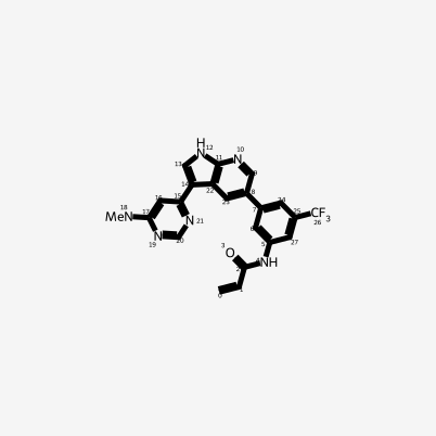 C=CC(=O)Nc1cc(-c2cnc3[nH]cc(-c4cc(NC)ncn4)c3c2)cc(C(F)(F)F)c1